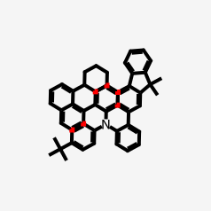 CC(C)(C)c1ccc(N(c2ccccc2-c2ccc3c(c2)C(C)(C)c2ccccc2-3)c2ccccc2-c2cccc3cccc(C4CCCCC4)c23)cc1